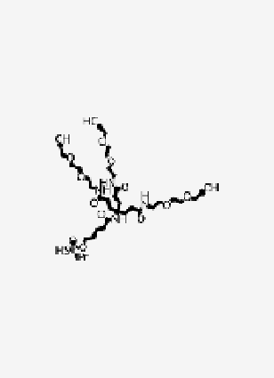 C#CCOCCOCCNC(=O)CCC(CCC(=O)NCCOCCOCC#C)(CCC(=O)NCCOCCOCC#C)NC(=O)CCCCOP(=O)(S)C(C)C